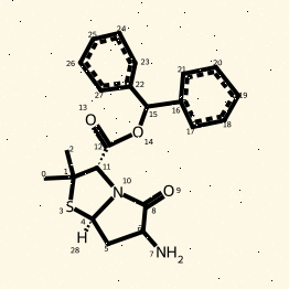 CC1(C)S[C@@H]2CC(N)C(=O)N2[C@H]1C(=O)OC(c1ccccc1)c1ccccc1